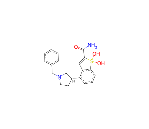 NC(=O)C1=Cc2c([C@@H]3CCN(Cc4ccccc4)C3)cccc2S1(O)O